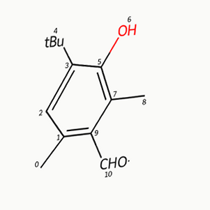 Cc1cc(C(C)(C)C)c(O)c(C)c1[C]=O